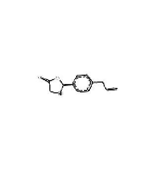 C=CCc1ccc(C2NCC(=O)O2)cc1